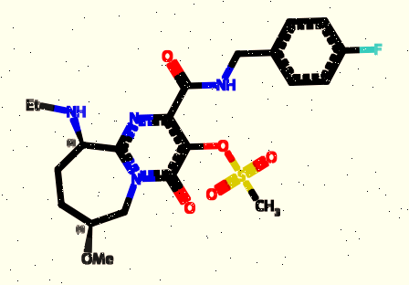 CCN[C@@H]1CC[C@H](OC)Cn2c1nc(C(=O)NCc1ccc(F)cc1)c(OS(C)(=O)=O)c2=O